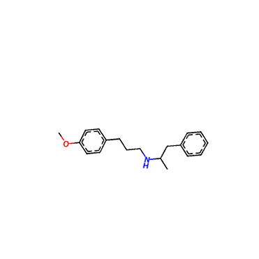 COc1ccc(CCCNC(C)Cc2ccccc2)cc1